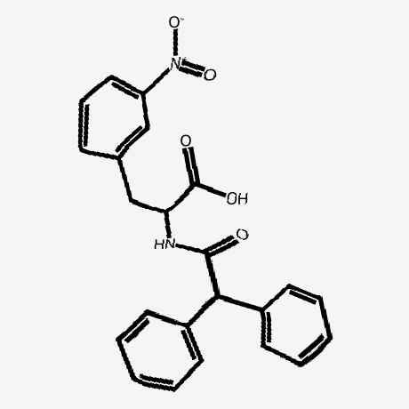 O=C(O)C(Cc1cccc([N+](=O)[O-])c1)NC(=O)C(c1ccccc1)c1ccccc1